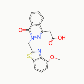 COc1cccc2sc(Cn3nc(CC(=O)O)c4ccccc4c3=O)nc12